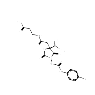 CC(C)C1(CC(=O)NCCC(=O)O)NC(=O)N(NC(=O)Nc2ccc(Br)cc2)C1=O